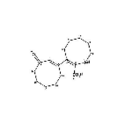 O=C1C=C(S2=C(C(=O)O)NCCCCC2)CCCCC1